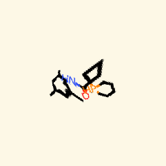 Cc1cc(C)c(NC(=O)C2([PH]3(C)CCCCC3)CCC2)c(C)c1